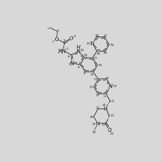 CCOC(=O)Nc1nc2cc(-c3ccc(CN4CCN(C)C(=O)C4)nc3)cc(-c3ccccn3)c2[nH]1